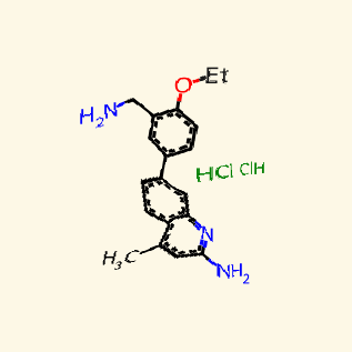 CCOc1ccc(-c2ccc3c(C)cc(N)nc3c2)cc1CN.Cl.Cl